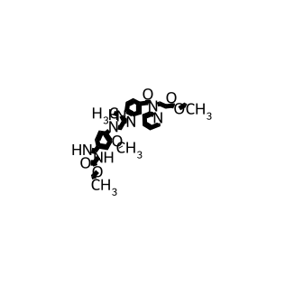 CCOC(=O)CCN(C(=O)c1ccc2c(c1)nc(CNc1ccc(C(=N)NC(=O)OCC)cc1OC)n2C)c1ccccn1